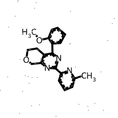 COc1ccccc1-c1nc(-c2cccc(C)n2)nc2c1CCOC2